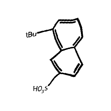 CC(C)(C)c1cccc2ccc(S(=O)(=O)O)cc12